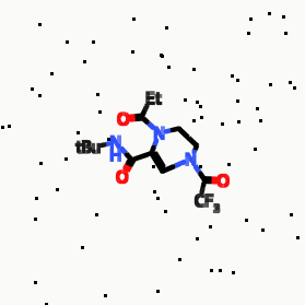 CCC(=O)N1CCN(C(=O)C(F)(F)F)C=C1C(=O)NC(C)(C)C